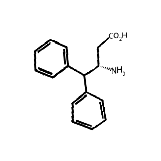 N[C@@H](CC(=O)O)C(c1ccccc1)c1ccccc1